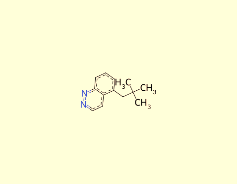 CC(C)(C)Cc1cccc2nnccc12